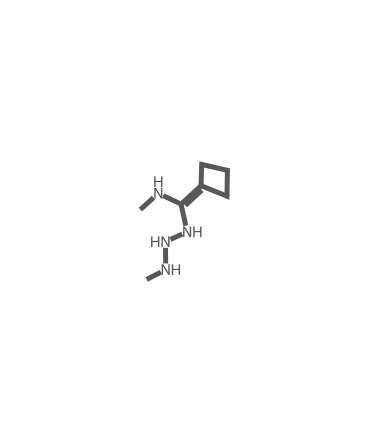 CNNNC(NC)=C1CCC1